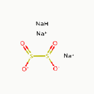 O=S([O-])S(=O)[O-].[Na+].[Na+].[NaH]